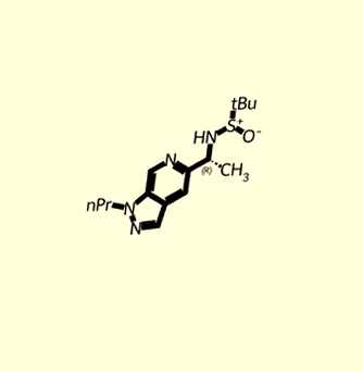 CCCn1ncc2cc([C@@H](C)N[S+]([O-])C(C)(C)C)ncc21